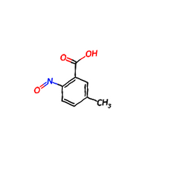 Cc1ccc(N=O)c(C(=O)O)c1